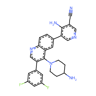 N#Cc1cncc(-c2ccc3ncc(-c4cc(F)cc(F)c4)c(N4CCC(N)CC4)c3c2)c1N